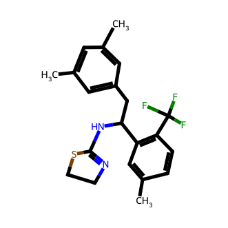 Cc1cc(C)cc(CC(NC2=NCCS2)c2cc(C)ccc2C(F)(F)F)c1